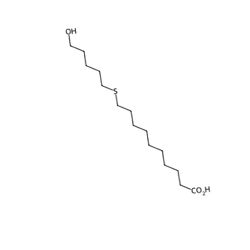 O=C(O)CCCCCCCCCSCCCCCO